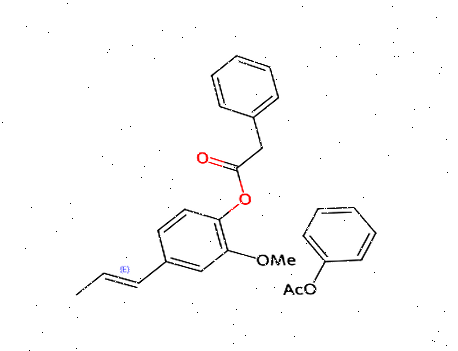 C/C=C/c1ccc(OC(=O)Cc2ccccc2)c(OC)c1.CC(=O)Oc1ccccc1